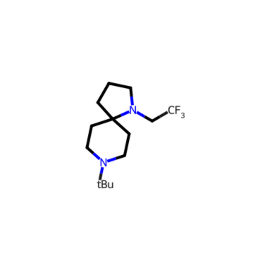 CC(C)(C)N1CCC2(CCCN2CC(F)(F)F)CC1